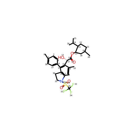 Cc1ccc(-c2c3c(cc(C)c2[C@H](O)C(=O)OC2CC(C)CCC2C(C)C)N(S(=O)(=O)C(F)(F)F)CC3)cc1